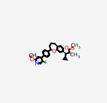 COC(=O)[C@@H](C)[C@H](c1ccc2c(c1)OC(c1ccc(-c3cc(OC)ncc3F)cc1)CCC2)C1CC1